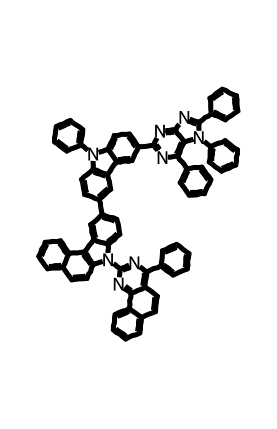 c1ccc(-c2nc(-n3c4ccc(-c5ccc6c(c5)c5cc(-c7nc(-c8ccccc8)c8c(n7)nc(-c7ccccc7)n8-c7ccccc7)ccc5n6-c5ccccc5)cc4c4c5ccccc5ccc43)nc3c2ccc2ccccc23)cc1